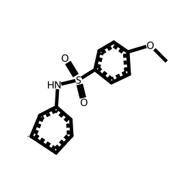 COc1ccc(S(=O)(=O)Nc2c[c]ccc2)cc1